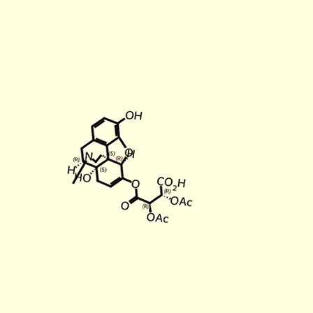 CC(=O)O[C@@H](C(=O)O)[C@@H](OC(C)=O)C(=O)OC1=CC[C@@]2(O)[C@H]3Cc4ccc(O)c5c4[C@@]2(CCN3C)[C@H]1O5